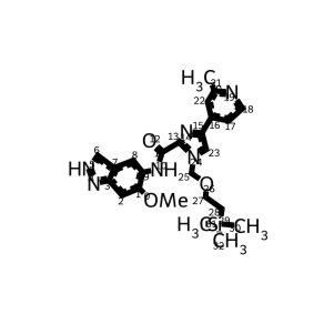 COc1cc2n[nH]cc2cc1NC(=O)c1nc(-c2ccnc(C)c2)cn1COCC[Si](C)(C)C